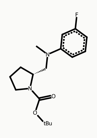 CN(C[C@H]1CCCN1C(=O)OC(C)(C)C)c1cccc(F)c1